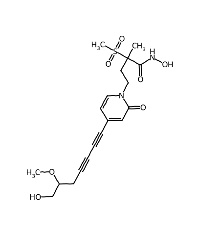 COC(CO)CC#CC#Cc1ccn(CCC(C)(C(=O)NO)S(C)(=O)=O)c(=O)c1